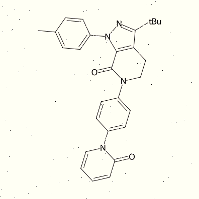 Cc1ccc(-n2nc(C(C)(C)C)c3c2C(=O)N(c2ccc(-n4ccccc4=O)cc2)CC3)cc1